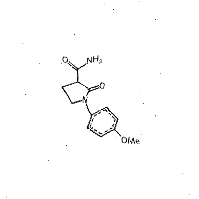 COc1ccc(N2CCC(C(N)=O)C2=O)cc1